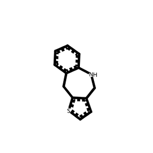 c1ccc2c(c1)Cc1sccc1CN2